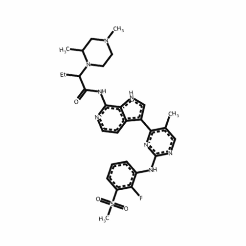 CCC(C(=O)Nc1nccc2c(-c3nc(Nc4cccc(S(C)(=O)=O)c4F)ncc3C)c[nH]c12)N1CCN(C)CC1C